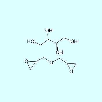 C(OCC1CO1)C1CO1.OC[C@@H](O)[C@@H](O)CO